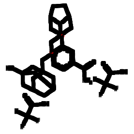 NC(=O)c1cccc(C2CC3CCC(C2)N3CCNCC23CC4CC(CC(O)(C4)C2)C3)c1.O=C(O)C(F)(F)F.O=C(O)C(F)(F)F